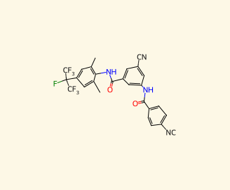 [C-]#[N+]c1ccc(C(=O)Nc2cc(C#N)cc(C(=O)Nc3c(C)cc(C(F)(C(F)(F)F)C(F)(F)F)cc3C)c2)cc1